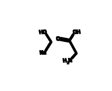 NCC(=O)O.O[CH2][Na]